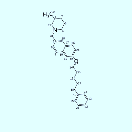 CC1CCCN(Cc2ccc3cc(OCCCCCc4ccccc4)ccc3c2)C1